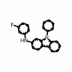 Fc1cccc(Nc2ccc3c4ccccc4n(-c4ccccc4)c3c2)c1